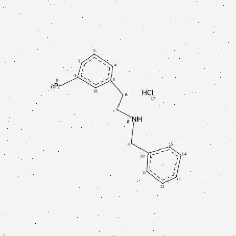 CCCc1cccc(CCNCc2ccccc2)c1.Cl